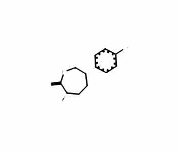 N[C@@H]1CC[C@@H](c2ccc(O)cc2)CNC1=O